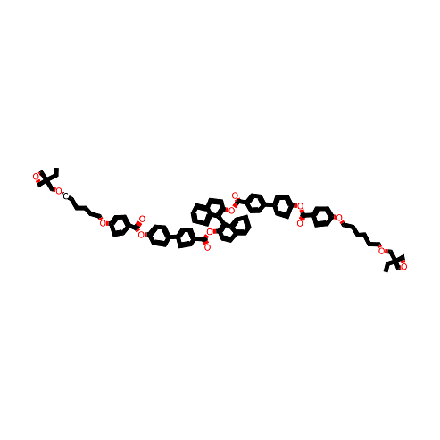 CCC1(COCCCCCCOc2ccc(C(=O)Oc3ccc(-c4ccc(C(=O)Oc5ccc6ccccc6c5-c5c(OC(=O)c6ccc(-c7ccc(OC(=O)c8ccc(OCCCCCCOCC9(CC)COC9)cc8)cc7)cc6)ccc6ccccc56)cc4)cc3)cc2)COC1